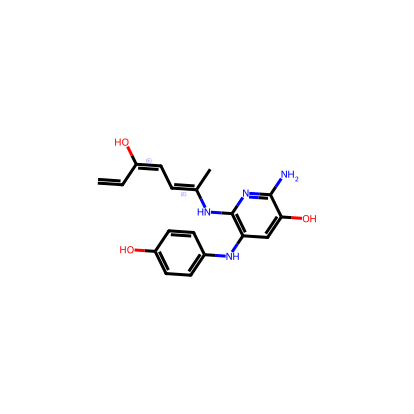 C=C/C(O)=C\C=C(/C)Nc1nc(N)c(O)cc1Nc1ccc(O)cc1